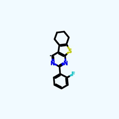 Fc1ccccc1-c1n[c]c2c3c(sc2n1)CCCC3